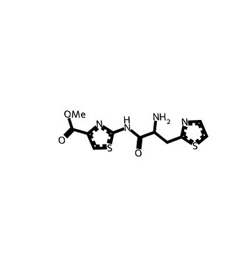 COC(=O)c1csc(NC(=O)C(N)Cc2nccs2)n1